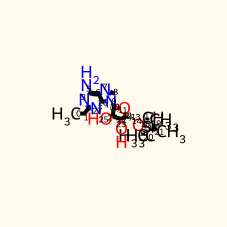 CCc1nc(N)c2ncn([C@@H]3O[C@H](CO[Si](C)(C)C(C)(C)C)C(O)C3O)c2n1